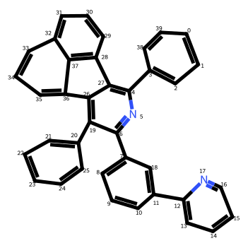 c1ccc(-c2nc(-c3cccc(-c4ccccn4)c3)c(-c3ccccc3)c3c2-c2cccc4cccc-3c24)cc1